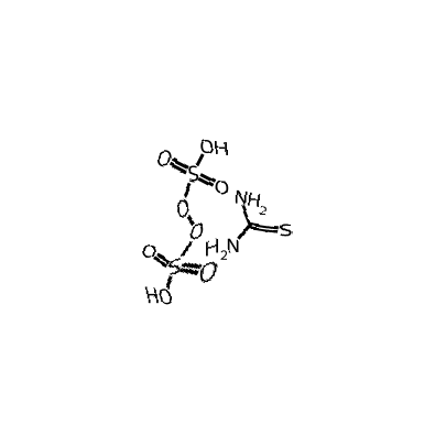 NC(N)=S.O=S(=O)(O)OOS(=O)(=O)O